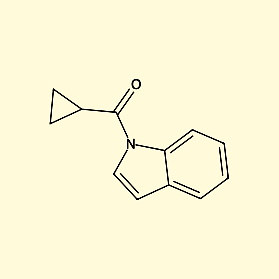 O=C(C1CC1)n1ccc2ccccc21